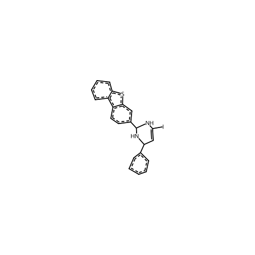 IC1=CC(c2ccccc2)NC(c2ccc3c(c2)sc2ccccc23)N1